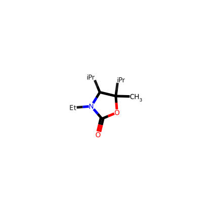 CCN1C(=O)OC(C)(C(C)C)C1C(C)C